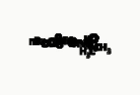 CCCCOc1ccc(S(=O)(=O)NC[C@H]2CC[C@H](CNc3nc(N(C)C)c4ccccc4n3)CC2)cc1